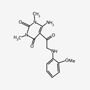 COc1ccccc1NCC(=O)c1c(N)n(C)c(=O)n(C)c1=O